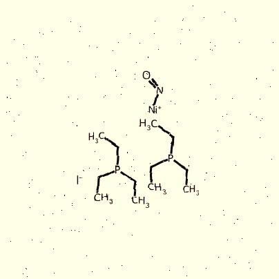 CCP(CC)CC.CCP(CC)CC.O=[N][Ni+].[I-]